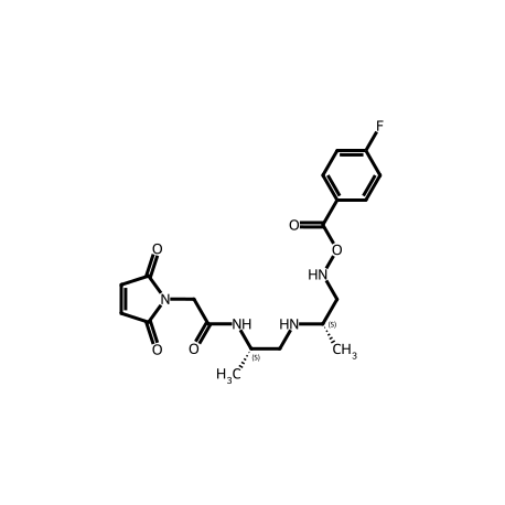 C[C@@H](CNOC(=O)c1ccc(F)cc1)NC[C@H](C)NC(=O)CN1C(=O)C=CC1=O